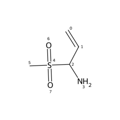 C=CC(N)S(C)(=O)=O